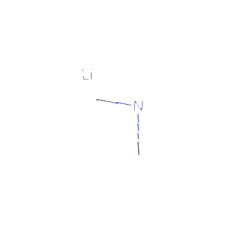 C[N-]C.[Li+]